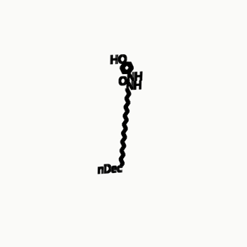 CCCCCCCCCCCCCCCCCCCCCCCCCCCCNC(=O)Nc1ccc(O)cc1